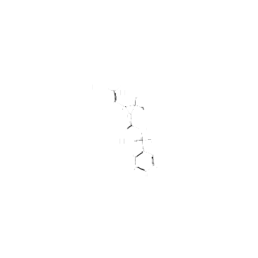 CC(C)=CC1C(C(=O)OC(C)(C)c2ccccc2)C1(C)C